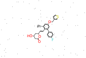 CC(C)c1cc(OCc2ccsc2)cc(-c2ccc(F)cc2)c1C=CC1CC(O)CC(=O)O1